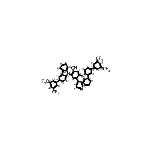 N#Cc1cc(-n2c3ccccc3c3cc(-c4cc(C(F)(F)F)cc(C(F)(F)F)c4)ccc32)c(-c2ccncc2)cc1-n1c2ccccc2c2cc(-c3cc(C(F)(F)F)cc(C(F)(F)F)c3)ccc21